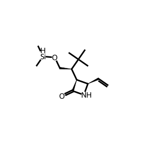 C=C[C@H]1NC(=O)[C@H]1[C@@H](CO[SiH](C)C)C(C)(C)C